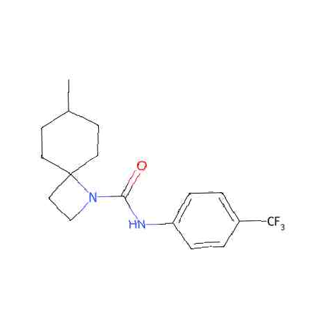 CC1CCC2(CC1)CCN2C(=O)Nc1ccc(C(F)(F)F)cc1